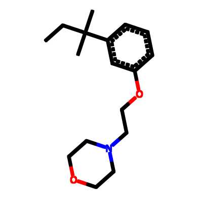 CCC(C)(C)c1cccc(OCCN2CCOCC2)c1